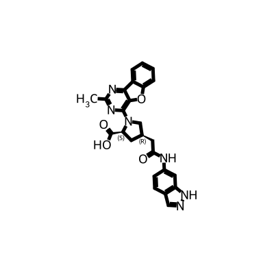 Cc1nc(N2C[C@@H](CC(=O)Nc3ccc4cn[nH]c4c3)C[C@H]2C(=O)O)c2oc3ccccc3c2n1